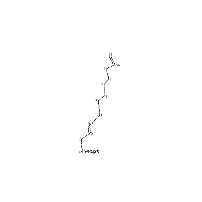 [CH2]CCCCCCCC=CCCCCCCC=C